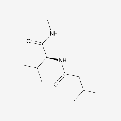 CNC(=O)[C@@H](NC(=O)CC(C)C)C(C)C